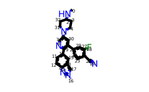 CNC1CCN(c2cnc(-c3ccc4nn(C)cc4c3)c(-c3ccc(C#N)c(F)c3)c2)CC1